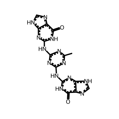 Cc1nc(Nc2nc3[nH]cnc3c(=O)[nH]2)nc(Nc2nc3[nH]cnc3c(=O)[nH]2)n1